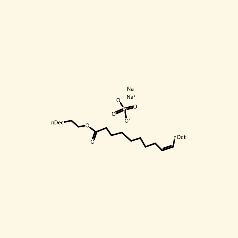 CCCCCCCC/C=C\CCCCCCCC(=O)OCCCCCCCCCCCC.O=S(=O)([O-])[O-].[Na+].[Na+]